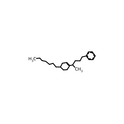 CCCCCCCC1CC=C(C(C)CCCc2ccccc2)CC1